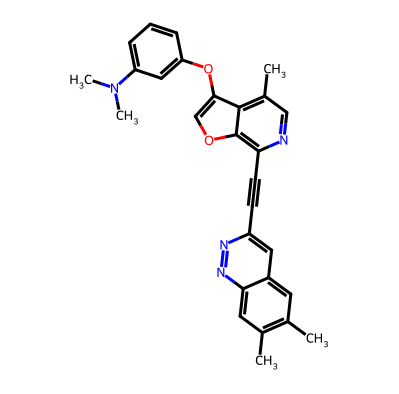 Cc1cc2cc(C#Cc3ncc(C)c4c(Oc5cccc(N(C)C)c5)coc34)nnc2cc1C